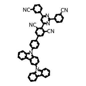 N#Cc1cccc(-c2cc(-c3c(C#N)cc(-c4ccc(-n5c6ccccc6c6cc(-n7c8ccccc8c8ccccc87)ccc65)cc4)cc3C#N)nc(-c3cccc(C#N)c3)n2)c1